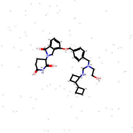 O=C1CCC(N2Cc3c(OCc4ccc(CN(CCO)CNC5CCC5C5CCC5)cc4)cccc3C2=O)C(=O)N1